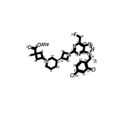 COC(=O)C1(C)CC(N2CCC[C@H](C3CN(c4nc(CF)c5nnn([C@H](C)c6ccc(Cl)cc6Cl)c5n4)C3)C2)C1